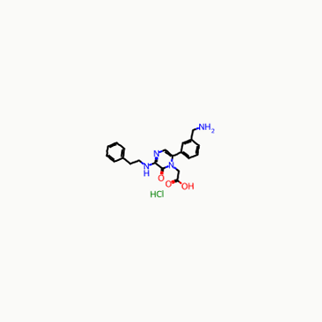 Cl.NCc1cccc(-c2cnc(NCCc3ccccc3)c(=O)n2CC(=O)O)c1